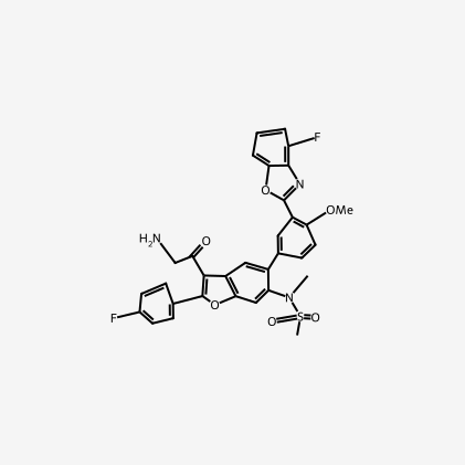 COc1ccc(-c2cc3c(C(=O)CN)c(-c4ccc(F)cc4)oc3cc2N(C)S(C)(=O)=O)cc1-c1nc2c(F)cccc2o1